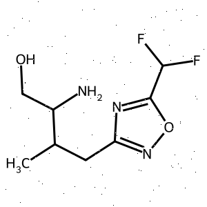 CC(Cc1noc(C(F)F)n1)C(N)CO